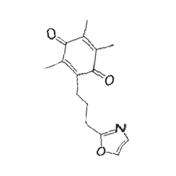 CC1=C(C)C(=O)C(CCCc2ncco2)=C(C)C1=O